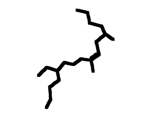 CCCCC(C)CC=C(C)CCCC(CC)CCCC